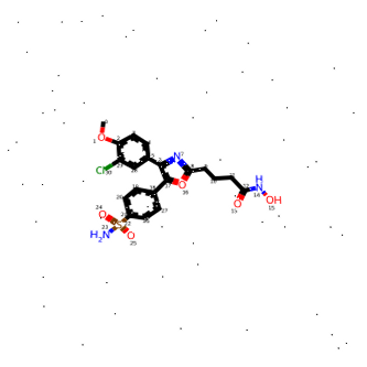 COc1ccc(-c2nc(CCCC(=O)NO)oc2-c2ccc(S(N)(=O)=O)cc2)cc1Cl